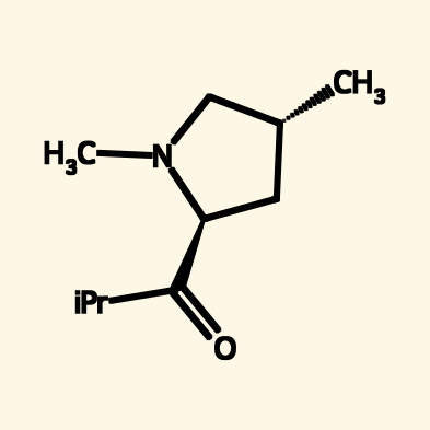 CC(C)C(=O)[C@@H]1C[C@@H](C)CN1C